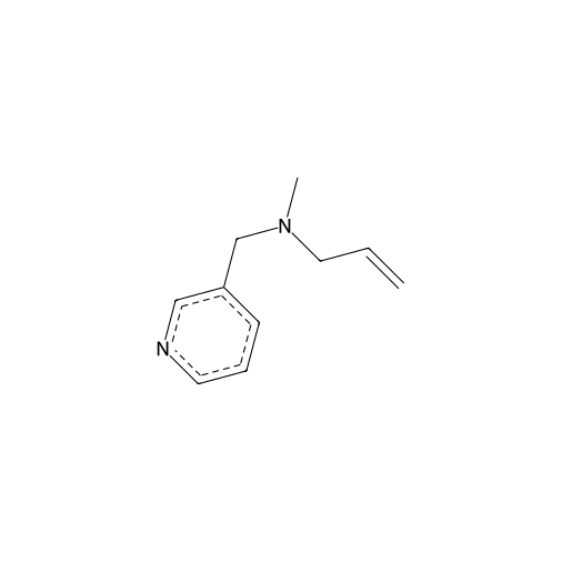 C=CCN(C)Cc1cccnc1